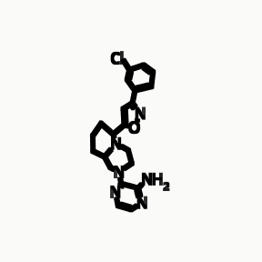 Nc1nccnc1N1CCN2C(CCCC2c2cc(-c3cccc(Cl)c3)no2)C1